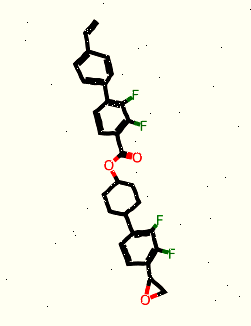 C=Cc1ccc(-c2ccc(C(=O)OC3CCC(c4ccc(C5CO5)c(F)c4F)CC3)c(F)c2F)cc1